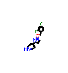 Fc1cc(Cl)ccc1COn1ccc(C2CCNCC2)n1